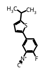 [C-]#[N+]c1cc(-c2ccc(C(C)C)s2)ccc1F